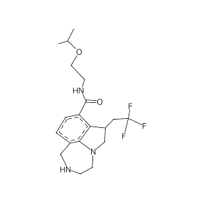 CC(C)OCCNC(=O)c1ccc2c3c1C(CC(F)(F)F)CN3CCNC2